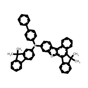 CC1(C)c2ccccc2-c2ccc(N(c3ccc(-c4ccccc4)cc3)c3ccc4c(c3)oc3c5c(c6ccccc6c34)C(C)(C)c3ccccc3-5)cc21